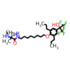 CCCc1cc(C(O)(C(F)(F)F)C(F)(F)F)cc(CCC)c1OCCCCCCCCNC(=O)C(C)(C)NC